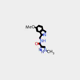 COc1ccc2c(c1)C(CNC(=O)c1cn(C)nn1)=NC2